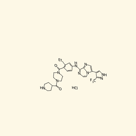 CCc1cc(Nc2nccn3c(-c4c[nH]nc4C(F)(F)F)cnc23)ccc1C(=O)N1CCN(C(=O)C2CCNCC2)CC1.Cl